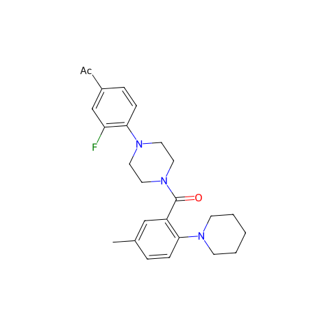 CC(=O)c1ccc(N2CCN(C(=O)c3cc(C)ccc3N3CCCCC3)CC2)c(F)c1